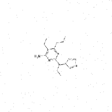 CCCc1nc(N(CC)n2cnnc2)nc(N)c1CC